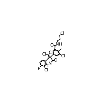 Cc1c(Cl)cc(C2(C(N)=O)C(c3ccc(F)c(Cl)c3)C2(Cl)Cl)cc1C(=O)NCCCCl